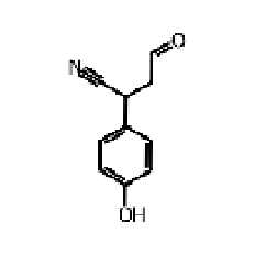 N#CC(CC=O)c1ccc(O)cc1